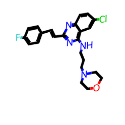 Fc1ccc(C=Cc2nc(NCCCN3CCOCC3)c3cc(Cl)ccc3n2)cc1